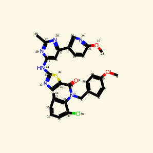 COc1ccc(CN(C(=O)c2cnc(Nc3cc(-c4ccc(OC)nc4)nc(C)n3)s2)c2c(C)cccc2Cl)cc1